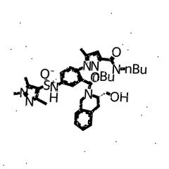 CCCCN(CCCC)C(=O)c1cc(C)n(-c2ccc(N[S+]([O-])c3c(C)nn(C)c3C)cc2C(=O)N2Cc3ccccc3C[C@H]2CO)n1